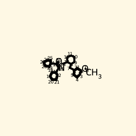 COc1cccc(CC2CCCCC2c2nc(-c3ccccc3)c(-c3ccccc3)o2)c1